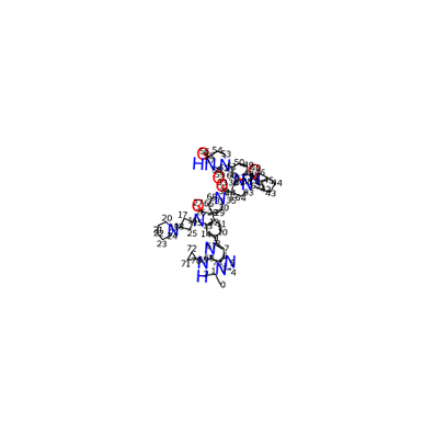 CC(C)n1cnc2cc(-c3ccc4c(c3)N([C@H]3C[C@@H](N5CCCCC5)C3)C(=O)C43CCN(C(=O)C4(C)CCN(C(=O)C5C6CCC5CN(c5ccc(N7CCC(=O)NC7=O)cn5)C6)CC4)CC3)nc(NC3CC3)c21